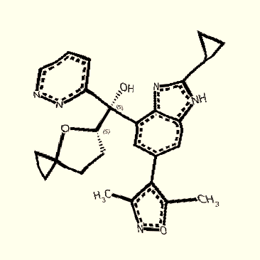 Cc1noc(C)c1-c1cc([C@](O)(c2cccnn2)[C@@H]2CCC3(CC3)O2)c2nc(C3CC3)[nH]c2c1